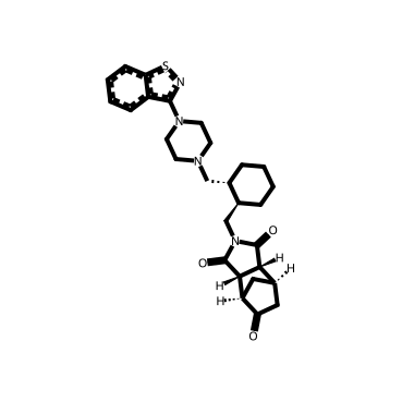 O=C1C[C@H]2C[C@@H]1[C@@H]1C(=O)N(C[C@@H]3CCCC[C@H]3CN3CCN(c4nsc5ccccc45)CC3)C(=O)[C@H]21